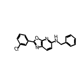 Clc1cccc(-c2nc3ccc(NCc4ccccc4)nc3o2)c1